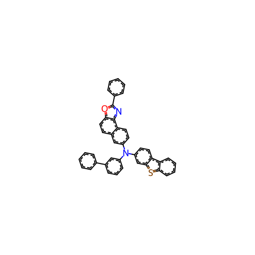 c1ccc(-c2cccc(N(c3ccc4c(ccc5oc(-c6ccccc6)nc54)c3)c3ccc4c(c3)sc3ccccc34)c2)cc1